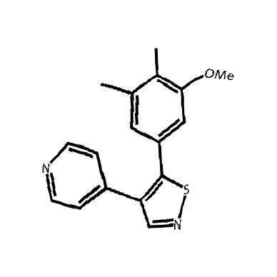 COc1cc(-c2sncc2-c2ccncc2)cc(C)c1C